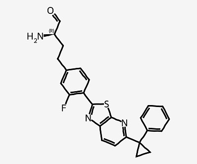 N[C@@H](C=O)CCc1ccc(-c2nc3ccc(C4(c5ccccc5)CC4)nc3s2)c(F)c1